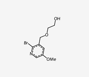 COc1cnc(Br)c(COCCO)c1